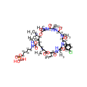 C/C=C(\C)[C@H]1OC(=O)[C@@H](C)NC(=O)C(C(C)CC)NC(=O)CN(C)C(=O)[C@@H](Cc2ccc(Cl)cc2)N(C)C(=O)[C@H](C)NC(=O)[C@@H](CC(C)C)OC(=O)/C(C)=C/C[C@H](OC(=O)NCCCCCOP(=O)(O)O)[C@@H]1C